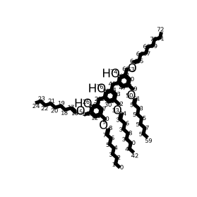 CCCCCCCC=COCc1cc(COC=CCCCCCCC)c(O)c(Cc2cc(COC=CCCCCCCC)cc(Cc3cc(COC=CCCCCCCC)cc(COC=CCCCCCCC)c3O)c2O)c1